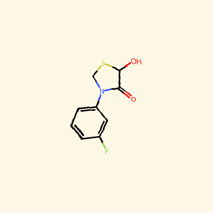 O=C1C(O)SCN1c1cccc(F)c1